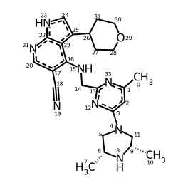 Cc1cc(N2C[C@@H](C)N[C@@H](C)C2)nc(CNc2c(C#N)cnc3[nH]cc(C4CCOCC4)c23)n1